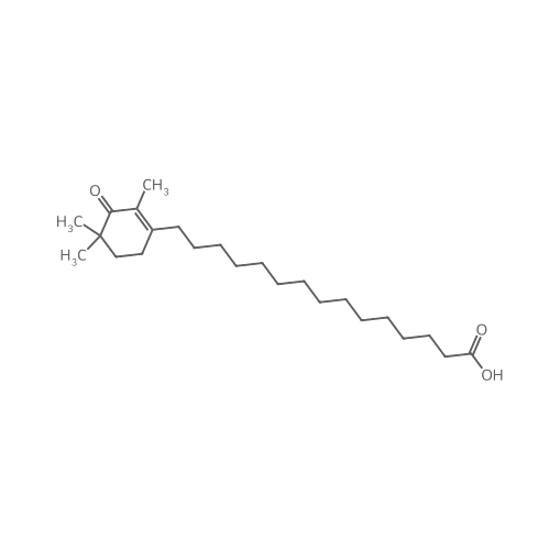 CC1=C(CCCCCCCCCCCCCCC(=O)O)CCC(C)(C)C1=O